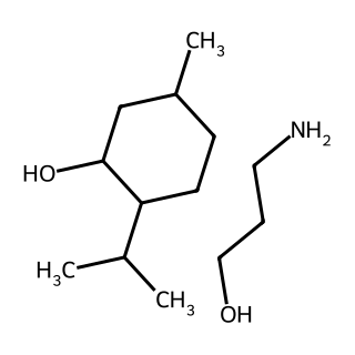 CC1CCC(C(C)C)C(O)C1.NCCCO